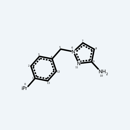 CC(C)c1ccc(Cn2ccc(N)n2)cc1